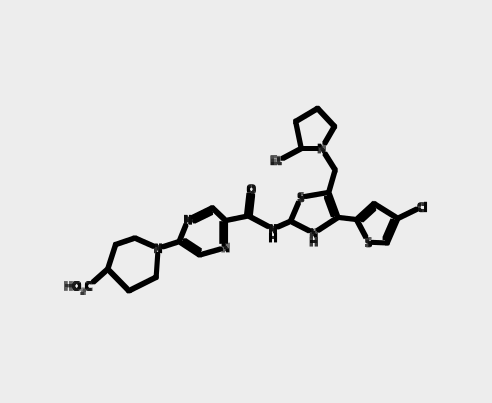 CCC1CCCN1CC1=C(c2cc(Cl)cs2)NC(NC(=O)c2cnc(N3CCC(C(=O)O)CC3)cn2)S1